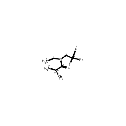 CCN(CC(F)(F)F)C(=O)[C@@H](C)N